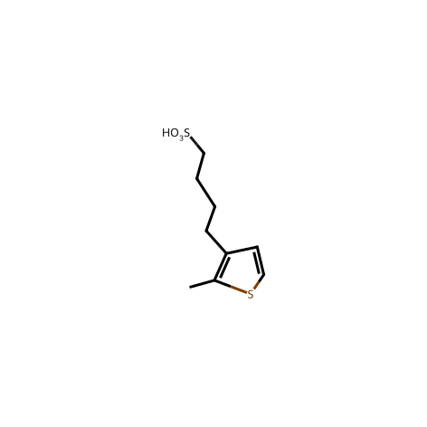 Cc1sccc1CCCCS(=O)(=O)O